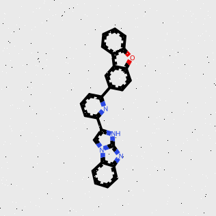 c1cc(-c2ccc3oc4ccccc4c3c2)nc(-c2cn3c(nc4ccccc43)[nH]2)c1